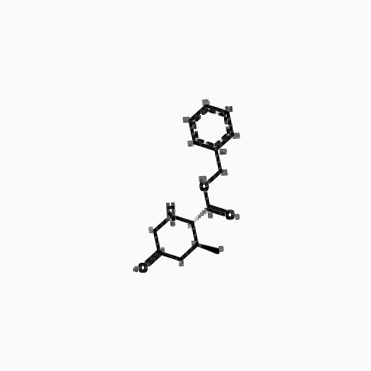 C[C@H]1CC(=O)CN[C@@H]1C(=O)OCc1ccccc1